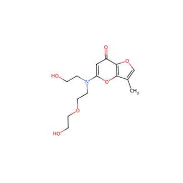 Cc1coc2c(=O)cc(N(CCO)CCOCCO)oc12